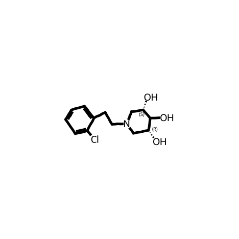 OC1[C@H](O)CN(CCc2ccccc2Cl)C[C@@H]1O